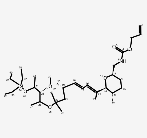 C=CCOC(=O)NC[C@H]1CC[C@H](C)[C@@H](/C(C)=C/C=C/[C@@H](C)CC(C)(C)OC(C)[C@@H](OC)C(C)O[Si](CC)(CC)CC)O1